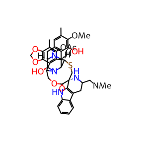 CNCC1Cc2c([nH]c3ccccc23)[C@@]2(CS[C@@H]3c4c(OC(C)=O)c(C)c5c(c4C(COC2=O)N2C3[C@H]3c4c(cc(C)c(OC)c4O)C[C@H]([C@@H]2O)N3C)OCO5)N1